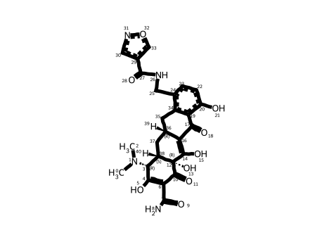 CN(C)[C@H]1C(O)=C(C(N)=O)C(=O)[C@]2(O)C(O)=C3C(=O)c4c(O)ccc(CNC(=O)c5cnoc5)c4C[C@H]3C[C@@H]12